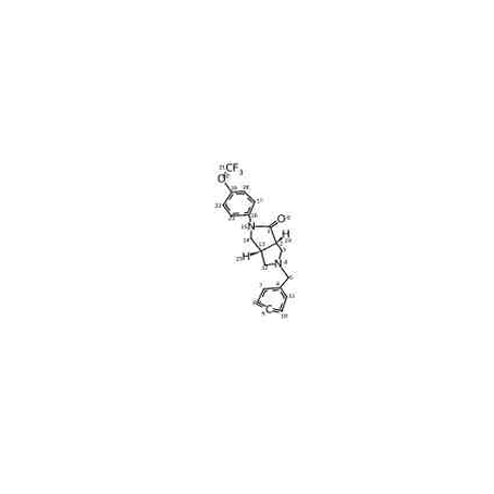 O=C1[C@@H]2CN(Cc3ccccc3)C[C@@H]2CN1c1ccc(OC(F)(F)F)cc1